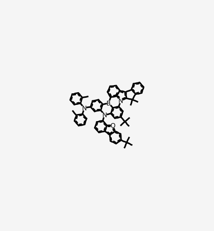 Cc1ccccc1N(c1ccc2c(c1)N(c1cccc3c1oc1cc(C(C)(C)C)ccc13)c1cc(C(C)(C)C)cc3c1B2c1cccc2c4c(n-3c12)C(C)(C)c1ccccc1-4)c1ccccc1C